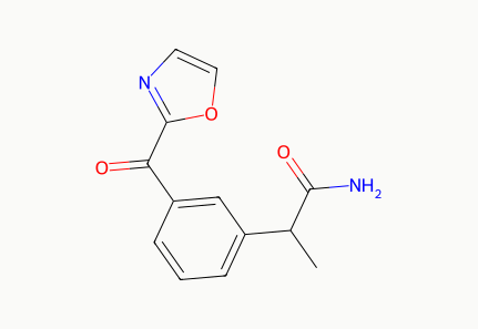 CC(C(N)=O)c1cccc(C(=O)c2ncco2)c1